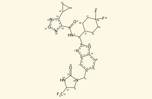 O=C(NC(c1nc2cc(CN3CC(C(F)(F)F)NC3=O)ccc2o1)C1CCC(F)(F)CC1)c1nonc1C1CC1